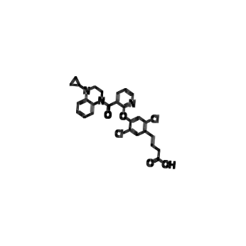 O=C(O)CC=Cc1cc(Cl)c(Oc2ncccc2C(=O)N2CCN(C3CC3)c3ccccc32)cc1Cl